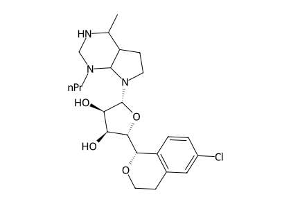 CCCN1CNC(C)C2CCN([C@@H]3O[C@H]([C@H]4OCCc5cc(Cl)ccc54)[C@@H](O)[C@H]3O)C21